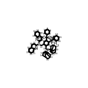 CC(C)(c1ccccc1)c1cc(CP(c2ccc3ccccc3n2)c2ccc3ccccc3n2)c(CP(C23CC4CC(CC(C4)C2)C3)C23CC4CC(CC(C4)C2)C3)cc1C(C)(C)c1ccccc1